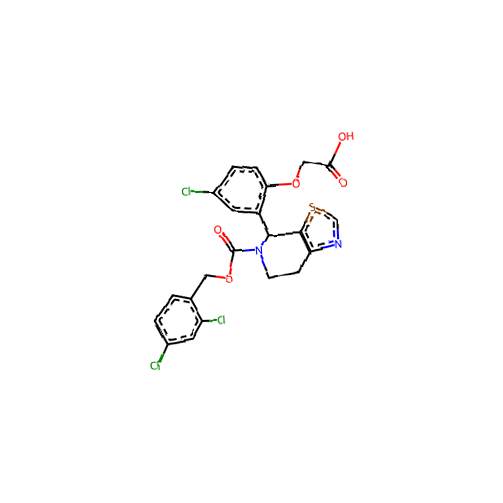 O=C(O)COc1ccc(Cl)cc1C1c2scnc2CCN1C(=O)OCc1ccc(Cl)cc1Cl